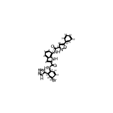 O=C(Nc1cccc2cc(C(=O)Nc3ccc(Br)cc3-c3nnn[nH]3)[nH]c12)c1cc(-c2ccccc2)on1